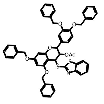 CC(=O)OC1C(c2ccc(OCc3ccccc3)c(OCc3ccccc3)c2)Oc2cc(OCc3ccccc3)cc(OCc3ccccc3)c2C1Sc1nc2ccccc2s1